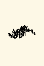 C#CO[C@H](CO)[C@@H](O)[C@@H](O)c1ccc2c(N)ncnn12